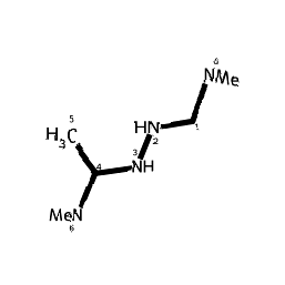 CNCNNC(C)NC